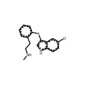 CNCCc1ccccc1Sc1c[nH]c2ccc(Cl)cc12